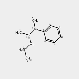 C[SiH2]O[SiH](C)N(C)c1ccccc1